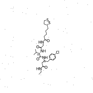 CCNC(=O)C[C@H](Cc1ccc(Cl)cc1)NC(=O)[C@@H](NC(=O)CNC(=O)CCCCC1CCSS1)C(C)C